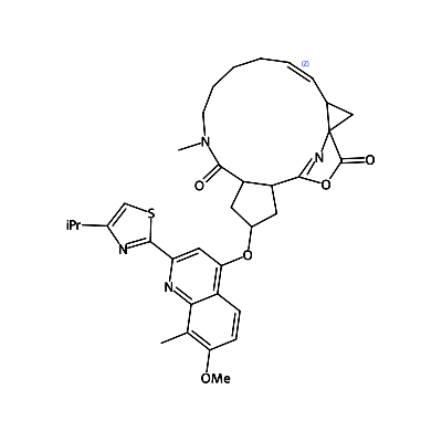 COc1ccc2c(OC3CC4C(=O)N(C)CCCC/C=C\C5CC56N=C(OC6=O)C4C3)cc(-c3nc(C(C)C)cs3)nc2c1C